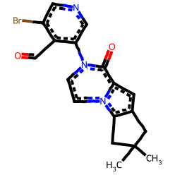 CC1(C)Cc2cc3c(=O)n(-c4cncc(Br)c4C=O)ccn3c2C1